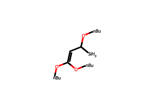 CCCCOC(=CC([SiH3])OCCCC)OCCCC